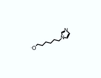 [O]CCCCCCn1ccnc1